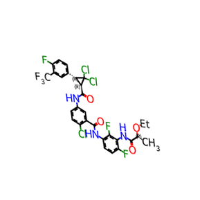 CCO[C@H](C)C(=O)Nc1c(F)ccc(NC(=O)c2cc(NC(=O)[C@H]3[C@H](c4ccc(F)c(C(F)(F)F)c4)C3(Cl)Cl)ccc2Cl)c1F